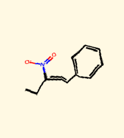 CCC(=Cc1ccccc1)[N+](=O)[O-]